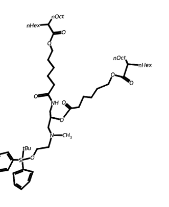 CCCCCCCCC(CCCCCC)C(=O)OCCCCCC(=O)NCC(CN(C)CCO[Si](c1ccccc1)(c1ccccc1)C(C)(C)C)OC(=O)CCCCCOC(=O)C(CCCCCC)CCCCCCCC